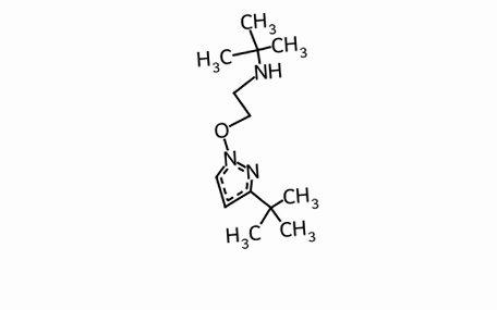 CC(C)(C)NCCOn1ccc(C(C)(C)C)n1